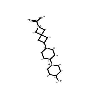 CC(C)C(=O)N1CC2(CC(N3CCC(N4CCC(C(C)C)CC4)CC3)C2)C1